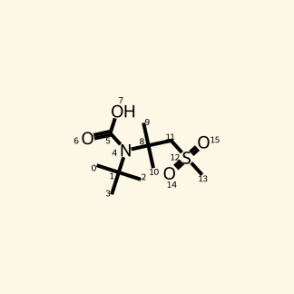 CC(C)(C)N(C(=O)O)C(C)(C)CS(C)(=O)=O